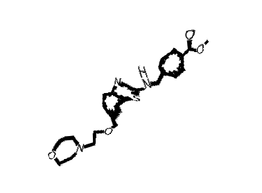 COC(=O)c1ccc(CNc2nc3ccc(OCCN4CCOCC4)cc3s2)cc1